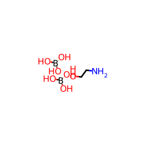 NCCO.OB(O)O.OB(O)O